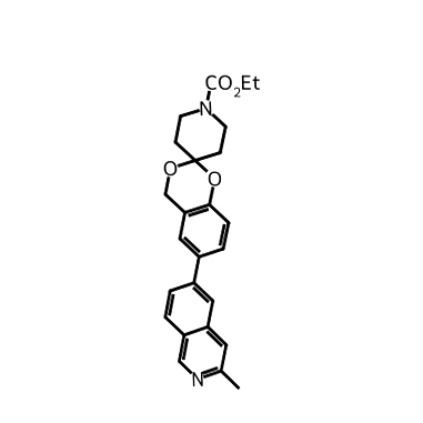 CCOC(=O)N1CCC2(CC1)OCc1cc(-c3ccc4cnc(C)cc4c3)ccc1O2